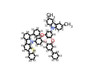 Cc1ccc2c(c1)c1cc(C)ccc1n2-c1cc2c3c(c1)Oc1cc(-n4c5c(-c6ccccc6)cccc5c5ccc6c7ccccc7sc6c54)ccc1B3c1ccc(-c3ccccc3)cc1O2